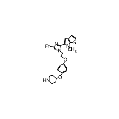 CCc1cn(CCOc2ccc(OC3CCNCC3)cc2)c(-c2cc3ccsc3n2C)n1